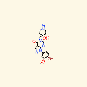 COc1cc(-n2ncc3c(=O)n(CC4(O)CCNCC4)cnc32)ccc1Br